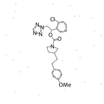 COc1ccc(CCC2CCN(C(=O)OC(Cn3ncnn3)c3ccccc3Cl)C2)cc1